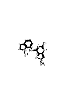 Cn1cc2nc(Cl)nc(Nc3cccc4c3N(S)CC4)c2n1